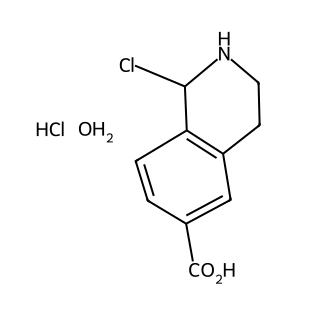 Cl.O.O=C(O)c1ccc2c(c1)CCNC2Cl